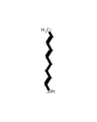 CC=CC=CC[CH]C=CCCC